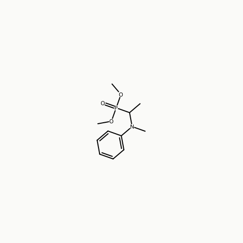 COP(=O)(OC)C(C)N(C)c1ccccc1